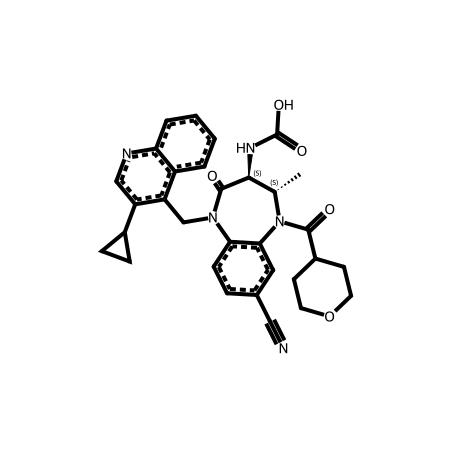 C[C@H]1[C@H](NC(=O)O)C(=O)N(Cc2c(C3CC3)cnc3ccccc23)c2ccc(C#N)cc2N1C(=O)C1CCOCC1